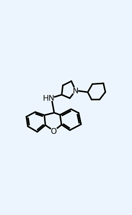 c1ccc2c(c1)Oc1ccccc1C2NC1CCN(C2CCCCC2)C1